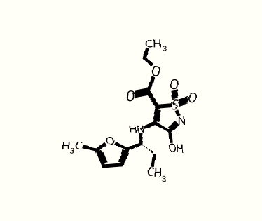 CCOC(=O)C1=C(N[C@H](CC)c2ccc(C)o2)C(O)=NS1(=O)=O